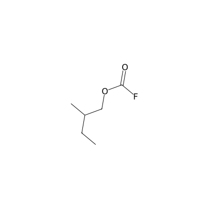 CCC(C)COC(=O)F